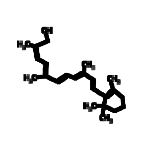 CC(C=CC1=C(C)CCCC1(C)C)=CC=CC(C)=CC=C(C)CO